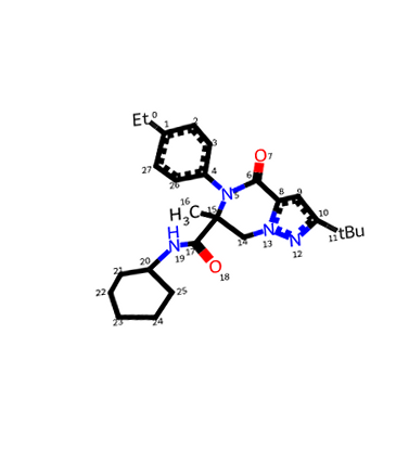 CCc1ccc(N2C(=O)c3cc(C(C)(C)C)nn3CC2(C)C(=O)NC2CCCCC2)cc1